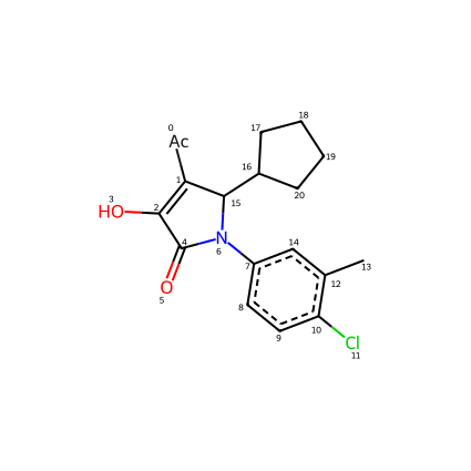 CC(=O)C1=C(O)C(=O)N(c2ccc(Cl)c(C)c2)C1C1CCCC1